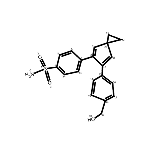 NS(=O)(=O)c1ccc(C2=CC3(C=C2c2ccc(CO)cc2)CC3)cc1